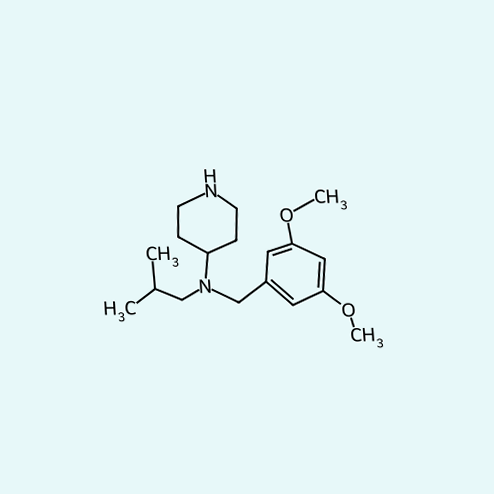 COc1cc(CN(CC(C)C)C2CCNCC2)cc(OC)c1